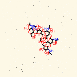 CC(=O)NC1C(O)OC(CO)C(OC2OC(CO)C(OC3OC(CO)[C@H](OC4OC(CO)C(OC5OC(COC(C)=O)C(O)C(O)C5NC(C)=O)C(O)C4NC(C)=O)C(O)C3NC(C)=O)C(O)C2NC(C)=O)C1O